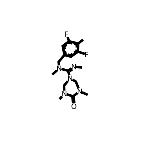 C/N=C(/N(C)Cc1cc(F)c(C)c(F)c1)N1CN(C)C(=O)N(C)C1